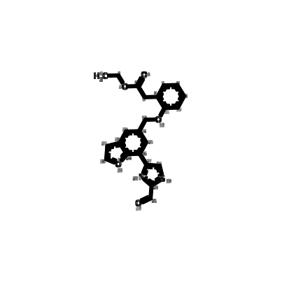 CCOC(=O)Cc1ccccc1OCc1cc(-c2csc(C=O)n2)c2occc2c1